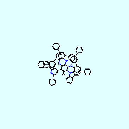 N#Cc1c(-c2cc(-c3ccccc3)nc(-c3ccccc3)c2)c(-n2c3ccccc3c3cc(-c4ccccc4)ccc32)c(-n2c3ccccc3c3cc(-c4ccccc4)ccc32)c(-n2c3ccccc3c3cc(-c4ccccc4)ccc32)c1-n1c2ccccc2c2cc(-c3ccccc3)ccc21